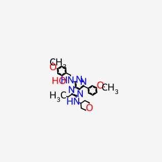 CCc1nc2c(NCc3ccc(OC)cc3O)nnc(-c3cccc(OC)c3)c2nc1NC1CCOCC1